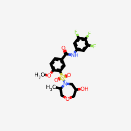 COc1ccc(C(=O)Nc2cc(F)c(F)c(F)c2)cc1S(=O)(=O)N1CC(O)COCC1C